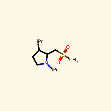 CC(C)C1CCN(C(C)C)C1CS(C)(=O)=O